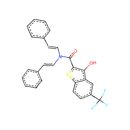 O=C(c1sc2ccc(C(F)(F)F)cc2c1O)N(/C=C/c1ccccc1)/C=C/c1ccccc1